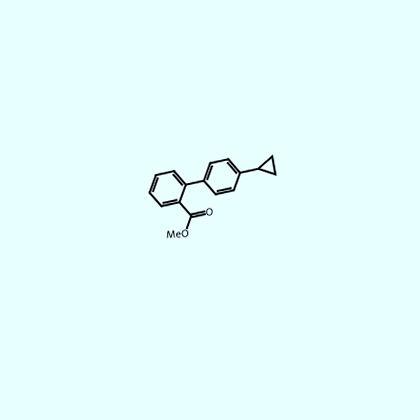 COC(=O)c1ccccc1-c1ccc(C2CC2)cc1